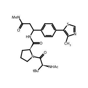 CNC(=O)CC(NC(=O)[C@@H]1CCCN1C(=O)[C@@H](NC(C)=O)C(C)(C)C)c1ccc(-c2scnc2C)cc1